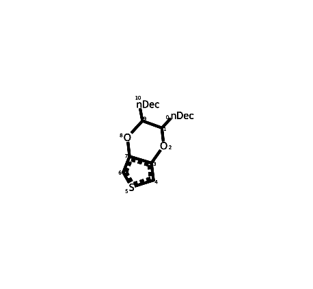 CCCCCCCCCCC1Oc2cscc2OC1CCCCCCCCCC